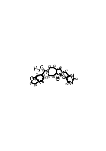 CC(c1ccc2c(c1)OCC2)N1CCC2CN(Cc3ccncn3)S(=O)(=O)C2CC1